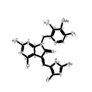 CCCCc1nc(Cl)c(C=C2C(=O)N(Cc3ncc(C)c(OC)c3C)c3nc(N)nc(Cl)c32)[nH]1